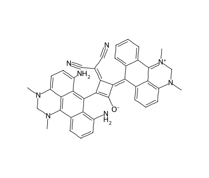 CN1CN(C)c2c3cccc(N)c3c(C3=C([O-])/C(=c4/c5ccccc5c5c6c(cccc46)N(C)C[N+]=5C)C3=C(C#N)C#N)c3c(N)ccc1c23